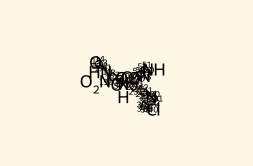 O=C(NS(=O)(=O)c1ccc(NCC2CCOCC2)c([N+](=O)[O-])c1)c1ccc(-c2ccc(N3CCC[C@@H]3c3ccccc3Cl)cc2)cc1Oc1cnc2[nH]ccc2c1